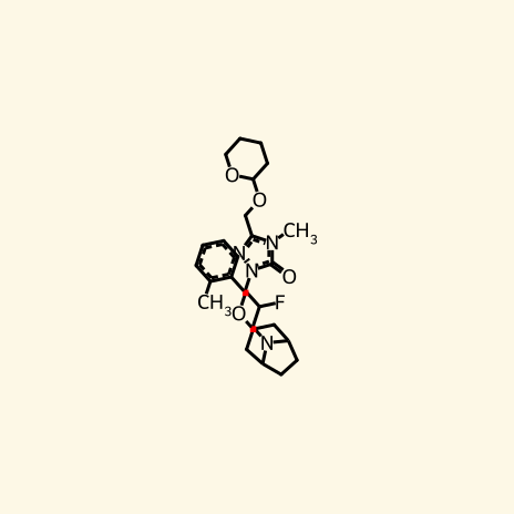 Cc1ccccc1COC1CC2CCC(C1)N2CC(F)Cn1nc(COC2CCCCO2)n(C)c1=O